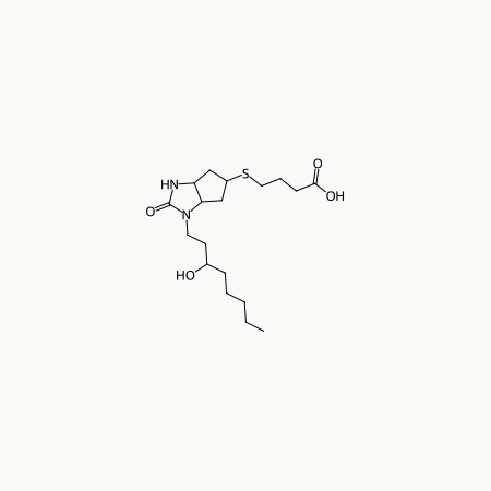 CCCCCC(O)CCN1C(=O)NC2CC(SCCCC(=O)O)CC21